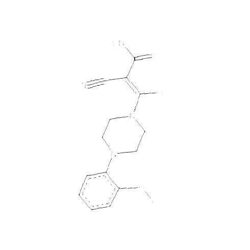 COc1ccccc1N1CCN(/C(C)=C(\C#N)C(N)=S)CC1